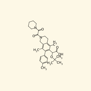 Cc1ccc(-c2c(C)c3c(c(C)c2C(OC(C)(C)C)C(=O)O)CCN(C(=O)C(=O)N2CCCCC2)C3)cc1